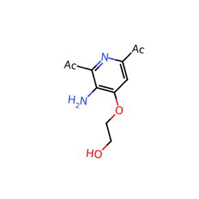 CC(=O)c1cc(OCCO)c(N)c(C(C)=O)n1